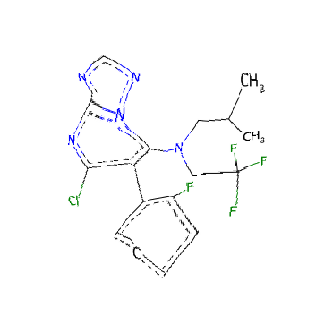 CC(C)CN(CC(F)(F)F)c1c(-c2ccccc2F)c(Cl)nc2ncnn12